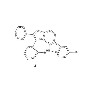 Brc1ccc2[nH]c3c(cc[n+]4cn(-c5ccccc5)c(-c5ccccc5Br)c34)c2c1.[Cl-]